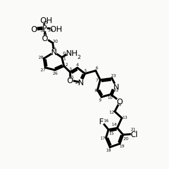 NC1C(c2cc(Cc3ccc(OCCc4c(F)cccc4Cl)nc3)no2)=CC=CN1COP(=O)(O)O